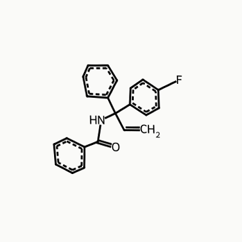 C=CC(NC(=O)c1ccccc1)(c1ccccc1)c1ccc(F)cc1